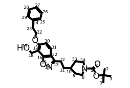 CC(C)(C)OC(=O)N1CCC(CCc2noc3c(CO)c(OCCc4ccccc4)ccc23)CC1